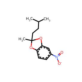 CC(C)CCC1(C)Oc2ccc([N+](=O)[O-])cc2O1